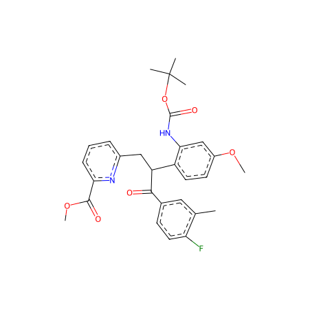 COC(=O)c1cccc(CC(C(=O)c2ccc(F)c(C)c2)c2ccc(OC)cc2NC(=O)OC(C)(C)C)n1